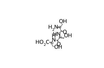 N[C@@H](CO)C(=O)N[C@@H](CO)C(=O)N[C@@H](CO)C(=O)O